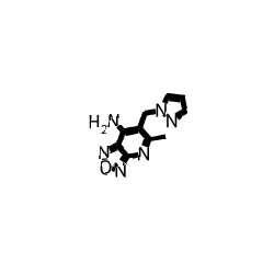 Cc1nc2nonc2c(N)c1Cn1cccn1